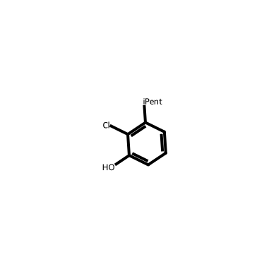 CCCC(C)c1cccc(O)c1Cl